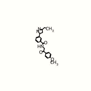 CCC1=NN=C(c2cccc(C(=O)NCC(=O)c3ccc(OC)cc3)c2)C1